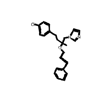 CC(CCc1ccc(Cl)cc1)(Cn1ccnc1)OCC=Cc1ccccc1